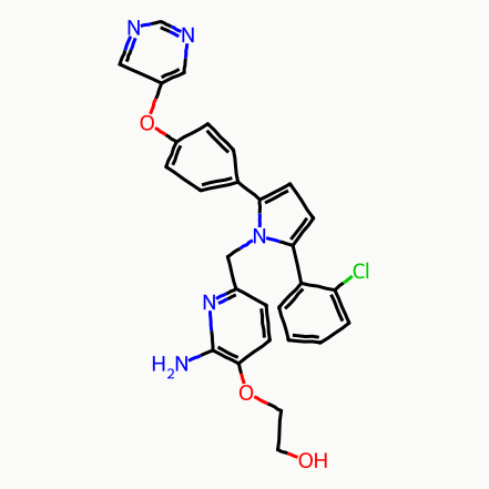 Nc1nc(Cn2c(-c3ccc(Oc4cncnc4)cc3)ccc2-c2ccccc2Cl)ccc1OCCO